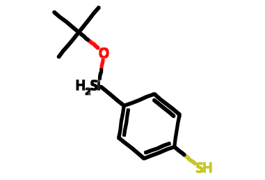 CC(C)(C)O[SiH2]c1ccc(S)cc1